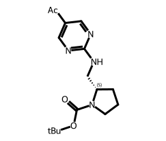 CC(=O)c1cnc(NC[C@@H]2CCCN2C(=O)OC(C)(C)C)nc1